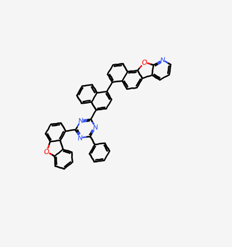 c1ccc(-c2nc(-c3ccc(-c4cccc5c4ccc4c6cccnc6oc54)c4ccccc34)nc(-c3cccc4oc5ccccc5c34)n2)cc1